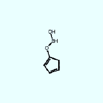 OBOC1=CC=CC1